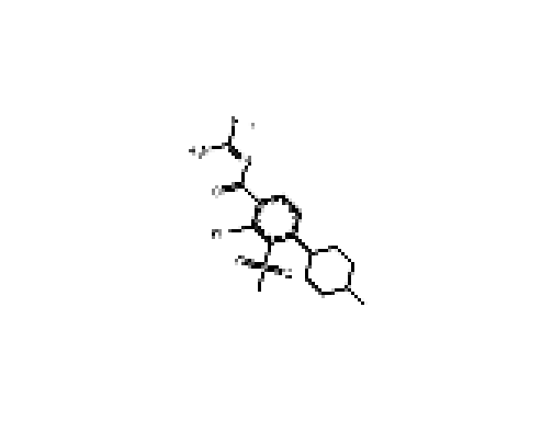 CCCc1c(C(=O)N=C(N)N)ccc(C2CCC(C)CC2)c1S(C)(=O)=O